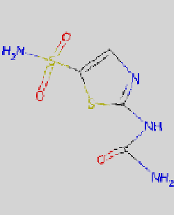 NC(=O)Nc1ncc(S(N)(=O)=O)s1